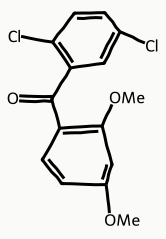 COc1ccc(C(=O)c2cc(Cl)ccc2Cl)c(OC)c1